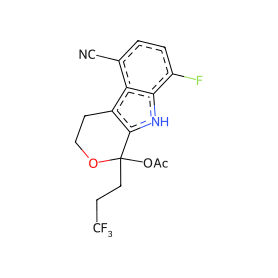 CC(=O)OC1(CCC(F)(F)F)OCCc2c1[nH]c1c(F)ccc(C#N)c21